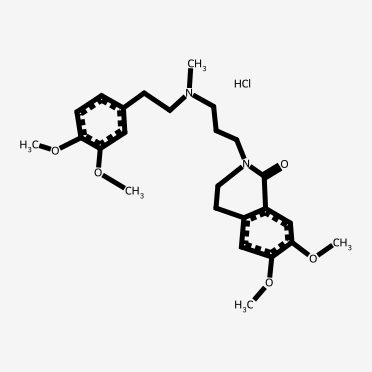 COc1ccc(CCN(C)CCCN2CCc3cc(OC)c(OC)cc3C2=O)cc1OC.Cl